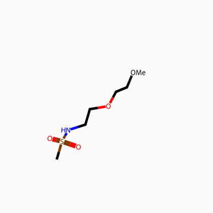 COCCOCCNS(C)(=O)=O